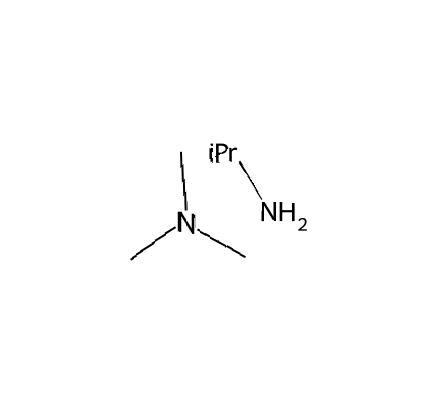 CC(C)N.CN(C)C